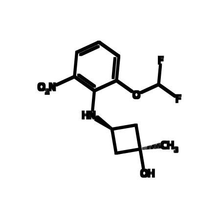 C[C@]1(O)C[C@@H](Nc2c(OC(F)F)cccc2[N+](=O)[O-])C1